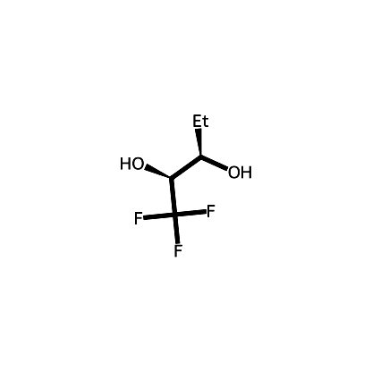 CC[C@@H](O)[C@H](O)C(F)(F)F